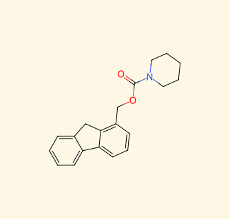 O=C(OCc1cccc2c1Cc1ccccc1-2)N1CCCCC1